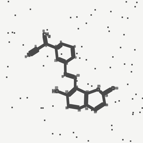 C=C(C#N)c1cccc(N=Nc2c(O)ccc3ccc(=O)oc23)c1